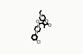 CCN1CCC2(CC1)OC(=O)C(C)=C2C(=O)N1CCN(c2cccc(Cl)c2)CC1